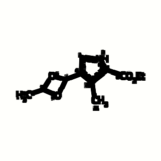 CCOC(=O)c1[nH]cc(C2OC(C)O2)c1C